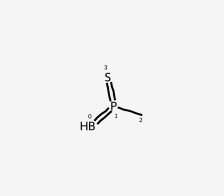 B=P(C)=S